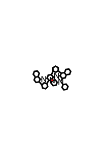 c1ccc(N(c2ccccc2)c2cc3ccccc3c3c4cccc5c6cc7c(nc6n(c23)c54)c2cccc3c4ccc5ccccc5c4n7c32)cc1